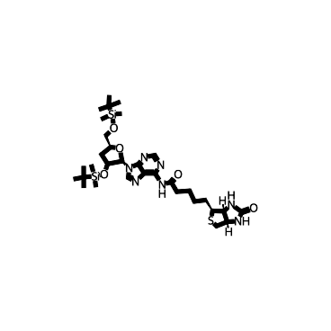 CC(C)(C)[Si](C)(C)OC[C@@H]1CC(O[Si](C)(C)C(C)(C)C)[C@H](n2cnc3c(NC(=O)CCCC[C@@H]4SC[C@@H]5NC(=O)N[C@@H]54)ncnc32)O1